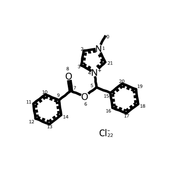 Cn1cc[n+](C(OC(=O)c2ccccc2)c2ccccc2)c1.[Cl-]